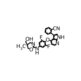 C[C@]1(CO)CN=C(Nc2cc(F)c(Oc3ccnc4[nH]cc(-c5ccccc5C#N)c34)c(F)c2)OC1